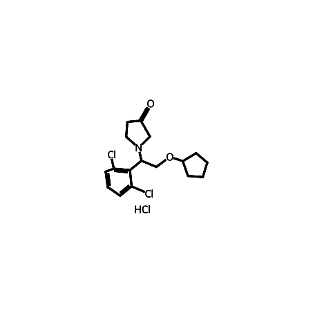 Cl.O=C1CCN(C(COC2CCCC2)c2c(Cl)cccc2Cl)C1